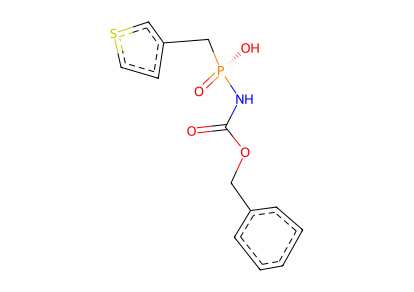 O=C(N[P@](=O)(O)Cc1ccsc1)OCc1ccccc1